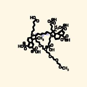 COCCOCCOCCOCCOCCC1(C)\C(=C/C=C/C=C/C2N(CCCS(=O)(=O)O)c3ccc4c(S(=O)(=O)O)cc(S(=O)(=O)O)cc4c3C2(C)CCCS(=O)(=O)O)N(CCCCCC(=O)O)c2ccc3c(S(=O)(=O)O)cc(S(=O)(=O)O)cc3c21